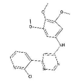 COc1cc(Nc2cc(-c3cccnc3Cl)ncn2)cc(OC)c1OC